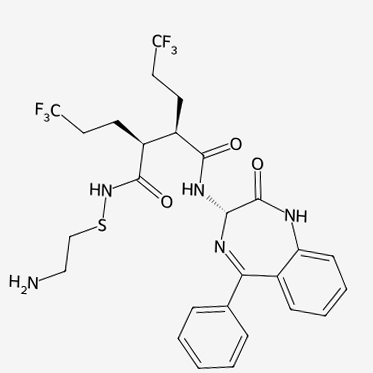 NCCSNC(=O)[C@@H](CCC(F)(F)F)[C@@H](CCC(F)(F)F)C(=O)N[C@H]1N=C(c2ccccc2)c2ccccc2NC1=O